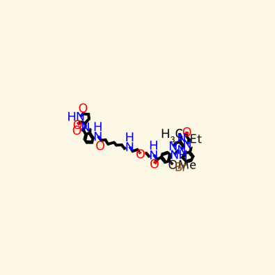 CC[C@@H]1C(=O)N(C)c2cnc(Nc3ccc(C(=O)NCCOCCNCCCCCCC(=O)Nc4cccc5c4CN(C4CCC(=O)NC4=O)C5=O)cc3OC)nc2N1Cc1ccc(Br)cc1